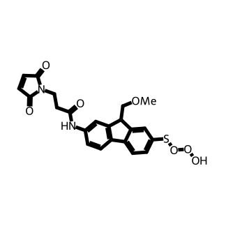 COCC1c2cc(NC(=O)CCN3C(=O)C=CC3=O)ccc2-c2ccc(SOOO)cc21